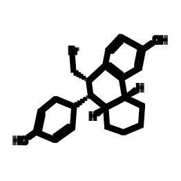 OC1=CCC([C@H]2[C@H]3CCCC[C@H]3c3cc(O)ccc3[C@H]2CBr)C=C1